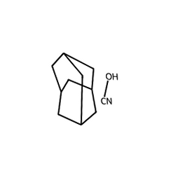 C1C2CC3CC1CC(C2)C3.N#CO